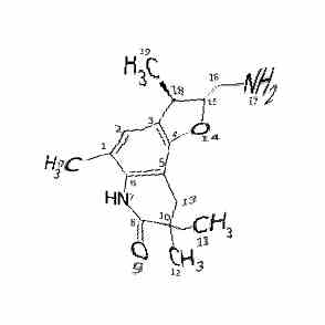 Cc1cc2c(c3c1NC(=O)C(C)(C)C3)O[C@@H](CN)[C@@H]2C